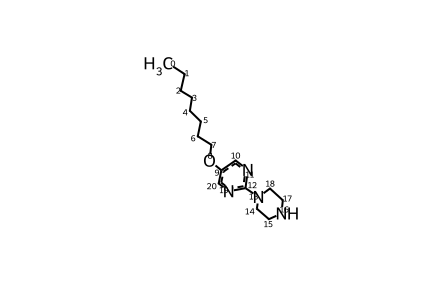 CCCCCCCCOc1cnc(N2CCNCC2)nc1